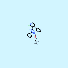 C[Si](C)(C)CCOCn1nc(-c2c(-c3ccccc3)ccnc2F)nc1-c1ccccc1